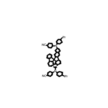 CC(C)c1ccc(N(c2ccc(C#N)cc2)c2ccc3cc4c(cc3c2)C2(c3ccccc3-c3ccccc32)c2c-4ccc3cc(N(c4ccc(C#N)cc4)c4ccc(C(C)C)cc4)ccc23)cc1